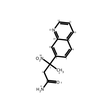 CC(CC(N)=O)(c1ccc2cccnc2c1)[N+](=O)[O-]